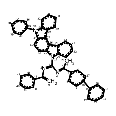 C=C(/N=C(\N=C(/C)c1ccc(-c2ccccc2)cc1)n1c2ccccc2c2c3c4ccccc4n(-c4ccccc4)c3ccc21)c1ccccc1